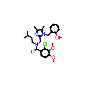 COc1ccc(C(=O)[N+](CCC(C)C)Cc2nc(C)c(C)n2Cc2ccccc2O)c(Cl)c1OC